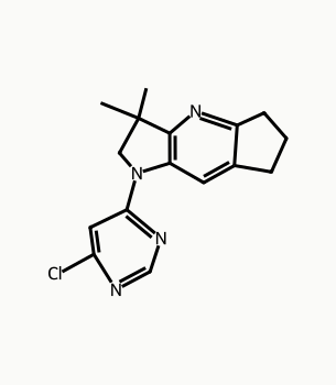 CC1(C)CN(c2cc(Cl)ncn2)c2cc3c(nc21)CCC3